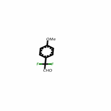 COc1ccc(C(F)(F)C=O)cc1